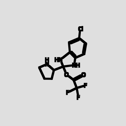 O=C(OC1(C2CCCN2)Nc2ccc(Cl)cc2N1)C(F)(F)F